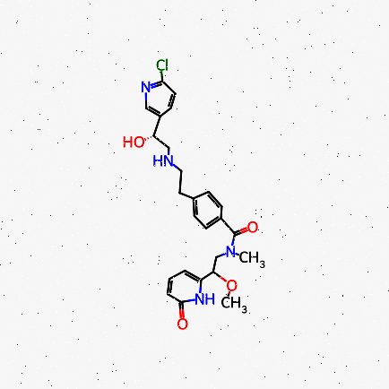 COC(CN(C)C(=O)c1ccc(CCNC[C@H](O)c2ccc(Cl)nc2)cc1)c1cccc(=O)[nH]1